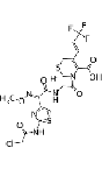 CO/N=C(/C(=O)NC1C(=O)N2C(C(=O)O)=C(/C=C/C(F)(F)F)CS[C@H]12)c1csc(NC(=O)CCl)n1